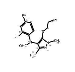 CC(C)CCSc1c(N(C=O)c2ccc(F)cc2F)c(C(F)(F)F)nn1C